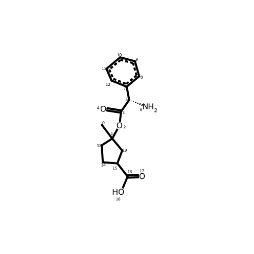 CC1(OC(=O)[C@@H](N)c2ccccc2)CCC(C(=O)O)C1